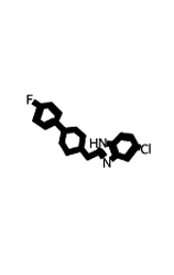 Fc1ccc(C2CCC(Cc3nc4cc(Cl)ccc4[nH]3)CC2)cc1